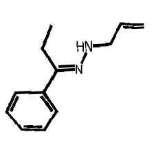 C=CCN/N=C(\CC)c1ccccc1